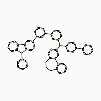 c1ccc(-c2ccc(N(c3cccc(-c4cccc(-c5ccc6c(c5)-c5ccccc5C6c5ccccc5)c4)c3)c3ccc4c(c3)-c3ccccc3CCC4)cc2)cc1